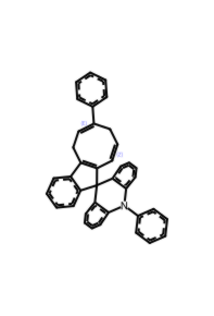 C1=C\C2=C(C/C=C(/c3ccccc3)C/1)c1ccccc1C21c2ccccc2N(c2ccccc2)c2ccccc21